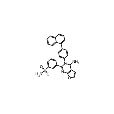 NC1c2ccoc2N=C(c2cccc(S(N)(=O)=O)c2)N1c1ccc(-c2cccc3ccccc23)cc1